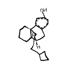 Oc1ccc2c(c1)[C@@]13CCCC[C@H]1[C@@H](C2)C(CC1CCC1)CC3